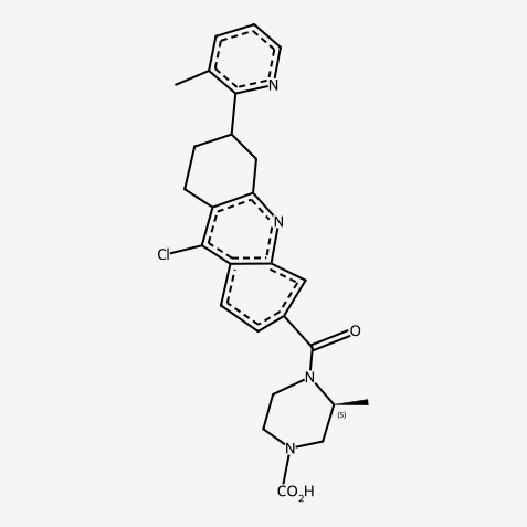 Cc1cccnc1C1CCc2c(nc3cc(C(=O)N4CCN(C(=O)O)C[C@@H]4C)ccc3c2Cl)C1